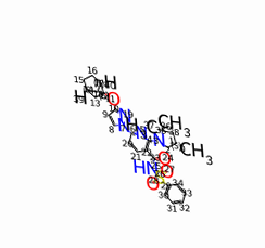 C[C@@H]1CN(c2nc(-n3ccc(O[C@H]4C[C@H]5CC[C@@H]4C5)n3)ccc2C(=O)NS(=O)(=O)c2ccccc2)C(C)(C)C1